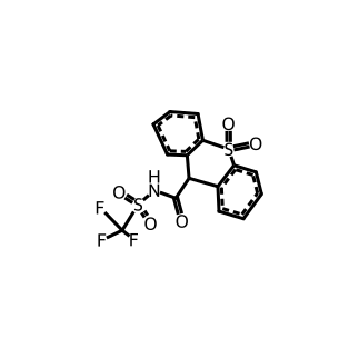 O=C(NS(=O)(=O)C(F)(F)F)C1c2ccccc2S(=O)(=O)c2ccccc21